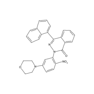 O=c1c2ccccc2c(-c2cccc3ccccc23)nn1-c1cc(N2CCOCC2)ccc1[N+](=O)[O-]